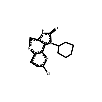 O=c1[nH]c2cnc3ccc(Cl)nc3c2n1C1CCCCC1